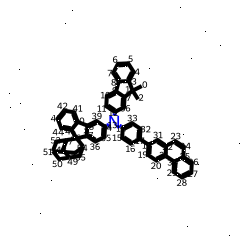 CC1(C)c2ccccc2-c2ccc(N(c3ccc(-c4ccc5c(ccc6ccccc65)c4)cc3)c3ccc4c(c3)-c3ccccc3C43C4CC5CC(C4)CC3C5)cc21